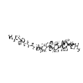 C=CC(=O)OCCCCCCOc1ccc(C(=O)Oc2ccc(-c3ccc(CC)cn3)cc2)cc1